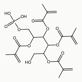 C=C(C)C(=O)OC(CO)C(OC(=O)C(=C)C)C(OC(=O)C(=C)C)C(COP(=O)(O)O)OC(=O)C(=C)C